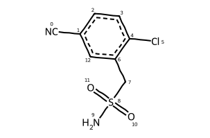 N#Cc1ccc(Cl)c(CS(N)(=O)=O)c1